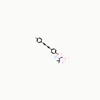 COC(C)(C(F)F)C(NC(=O)c1ccc(C#CC#Cc2ccc(Cl)cc2)cc1)C(=O)NO